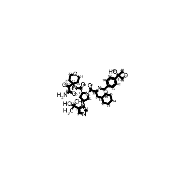 CC(C)(O)c1cnnn1[C@H]1C[C@@H](C(=O)NC2(C(=O)C(N)=O)CCOCC2)N(C(=O)/C(CC2CCCCC2)=N/C(=O)c2ccc(C3(O)COC3)cc2)C1